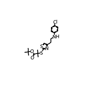 CC(C)(C)OC(=O)C(C)(C)Sc1nc(CCNc2ccc(Cl)cc2)cs1